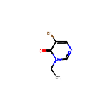 O=c1c(Br)cncn1CC(F)(F)F